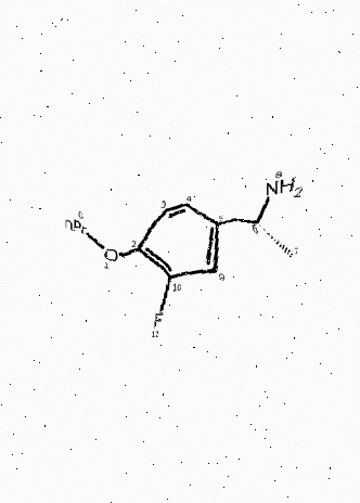 CCCOc1ccc([C@@H](C)N)cc1F